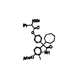 CNC(C(=O)Oc1ccc(C2(C3CCCCCC3)C(=O)Nc3c2ccc(OC)c3C)cc1)C(C)C